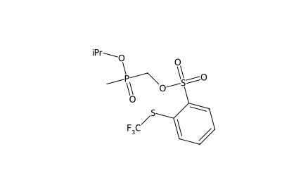 CC(C)OP(C)(=O)COS(=O)(=O)c1ccccc1SC(F)(F)F